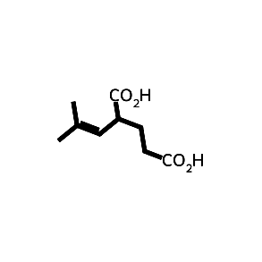 CC(C)=CC(CCC(=O)O)C(=O)O